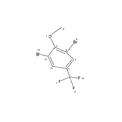 COc1c(Br)cc(C(F)(F)F)cc1Br